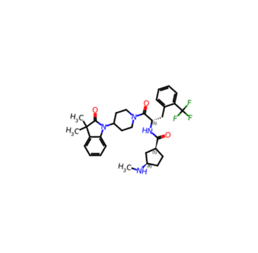 CN[C@@H]1CC[C@H](C(=O)N[C@@H](Cc2ccccc2C(F)(F)F)C(=O)N2CCC(N3C(=O)C(C)(C)c4ccccc43)CC2)C1